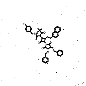 CC(C)(C)C(=O)C(C(=O)NCc1ccc(Cl)cc1)N1C(=O)C(N2C(=O)C(OCc3ccccc3)[C@H](OCc3ccccc3)C2=O)C1CCc1ccc2cnccc2c1